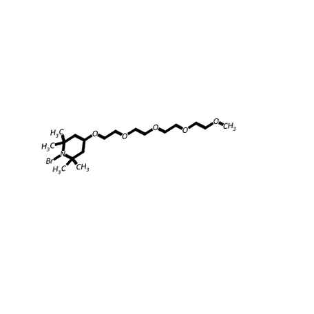 COCCOCCOCCOCCOC1CC(C)(C)N(Br)C(C)(C)C1